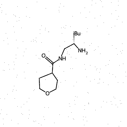 CCC(C)[C@H](N)CNC(=O)C1CCOCC1